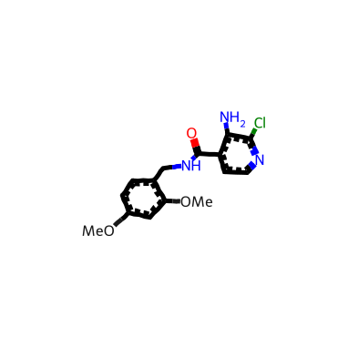 COc1ccc(CNC(=O)c2ccnc(Cl)c2N)c(OC)c1